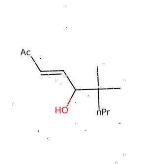 CCCC(C)(C)C(O)C=CC(C)=O